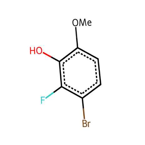 COc1ccc(Br)c(F)c1O